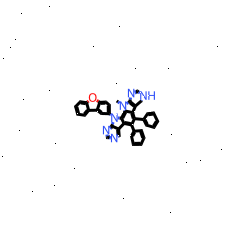 Cn1c2c(c3c(-c4ccccc4)c(-c4ccccc4)c4c5cncnc5n(-c5ccc6oc7ccccc7c6c5)c4c31)CNC=N2